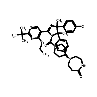 CCOc1nc(C(C)(C)C)ncc1C1=NC(C)(c2ccc(Cl)cc2)C(C)(c2ccc(Cl)cc2)N1C(=O)N1CCC(N2CCNC(=O)CC2)CC1